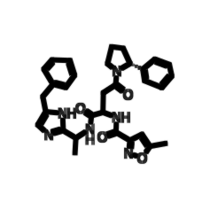 Cc1cc(C(=O)NC(CC(=O)N2CCC[C@@H]2c2ccccc2)C(=O)NC(C)c2ncc(Cc3ccccc3)[nH]2)no1